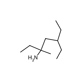 CCC(CC)CC(C)(N)CC